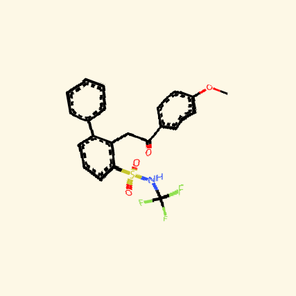 COc1ccc(C(=O)Cc2c(-c3ccccc3)cccc2S(=O)(=O)NC(F)(F)F)cc1